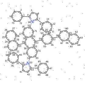 c1ccc(-c2ccc(-c3ccccc3)n2-c2ccc3c(-c4cccc5ccccc45)c4cc(-n5c(-c6ccccc6)ccc5-c5ccccc5)ccc4c(-c4ccc(-c5ccc6ccccc6c5)cc4)c3c2)cc1